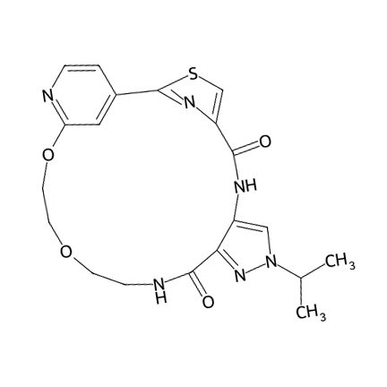 CC(C)n1cc2c(n1)C(=O)NCCOCCOc1cc(ccn1)-c1nc(cs1)C(=O)N2